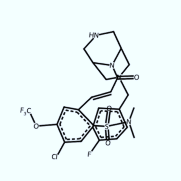 CN(C)S(=O)(=O)c1cc(Cl)c(OC(F)(F)F)cc1/C=C/C(=O)N1C2CNCC1CN(Cc1ccc(F)cc1)C2